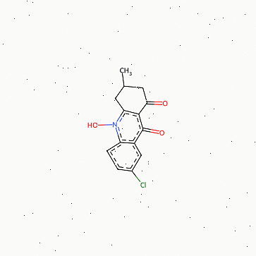 CC1CC(=O)c2c(n(O)c3ccc(Cl)cc3c2=O)C1